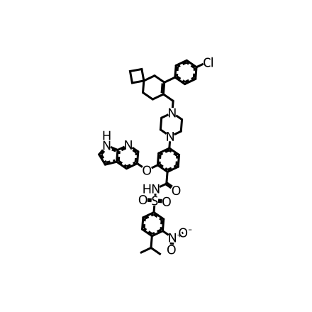 CC(C)c1ccc(S(=O)(=O)NC(=O)c2ccc(N3CCN(CC4=C(c5ccc(Cl)cc5)CC5(CCC5)CC4)CC3)cc2Oc2cnc3[nH]ccc3c2)cc1[N+](=O)[O-]